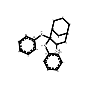 CC1CC2CCCC(C2)C1(Sc1ccccc1)Sc1ccccc1